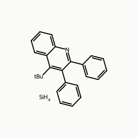 CC(C)(C)c1c(-c2ccccc2)c(-c2ccccc2)nc2ccccc12.[SiH4]